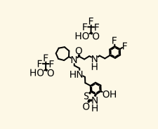 O=C(CCNCCc1ccc(F)c(F)c1)N(CCNCCc1ccc(O)c2[nH]c(=O)sc12)C1CCCCCC1.O=C(O)C(F)(F)F.O=C(O)C(F)(F)F